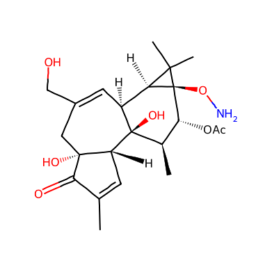 CC(=O)O[C@@H]1[C@@H](C)[C@@]2(O)[C@@H](C=C(CO)C[C@]3(O)C(=O)C(C)=C[C@@H]23)[C@H]2C(C)(C)[C@]12ON